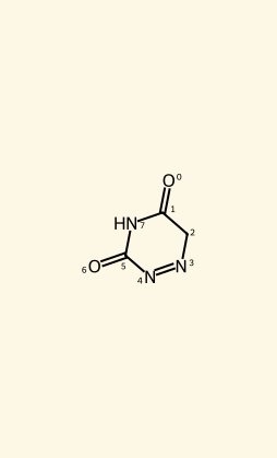 O=C1CN=NC(=O)N1